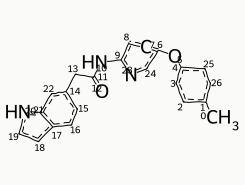 Cc1ccc(Oc2ccc(NC(=O)Cc3ccc4cc[nH]c4c3)nc2)cc1